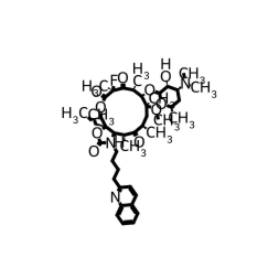 CC[C@H]1OC(=O)[C@@](C)(F)C(=O)[C@H](C)[C@@H](OC2O[C@H](C)C[C@H](N(C)C)[C@H]2O)[C@@](C)(OC)C[C@@H](C)C(=O)[C@H](C)[C@H]2N(CCCCc3ccc4ccccc4n3)C(=O)O[C@]12CC